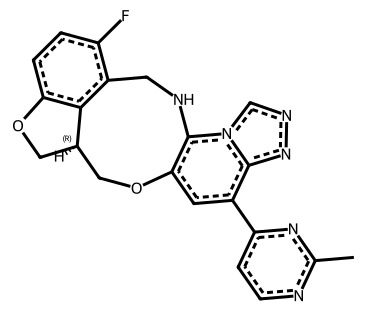 Cc1nccc(-c2cc3c(n4cnnc24)NCc2c(F)ccc4c2[C@H](CO4)CO3)n1